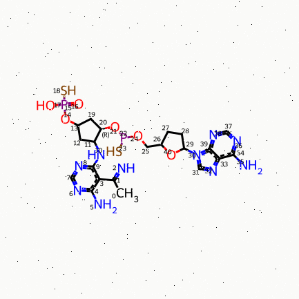 CC(=N)c1c(N)ncnc1NC1CC(OP(=O)(O)S)C[C@H]1OP(S)OCC1CCC(n2cnc3c(N)ncnc32)O1